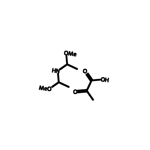 CC(=O)C(=O)O.COC(C)NC(C)OC